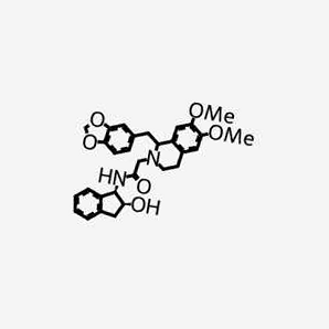 COc1cc2c(cc1OC)C(Cc1ccc3c(c1)OCO3)N(CC(=O)N[C@@H]1c3ccccc3C[C@@H]1O)CC2